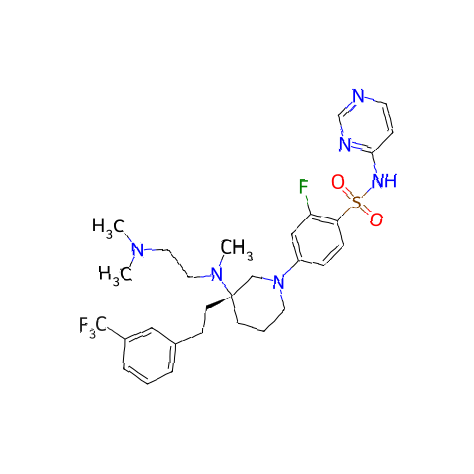 CN(C)CCN(C)[C@@]1(CCc2cccc(C(F)(F)F)c2)CCCN(c2ccc(S(=O)(=O)Nc3ccncn3)c(F)c2)C1